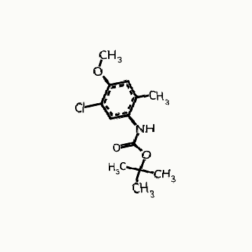 COc1cc(C)c(NC(=O)OC(C)(C)C)cc1Cl